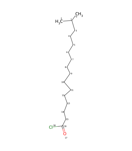 CC(C)CCCCCCCCCCCCCC(=O)Cl